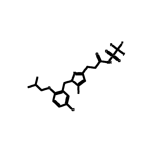 Cc1cc(CCC(=O)NS(=O)(=O)C(F)(F)F)nn1Cc1cc(Cl)ccc1OCC(C)C